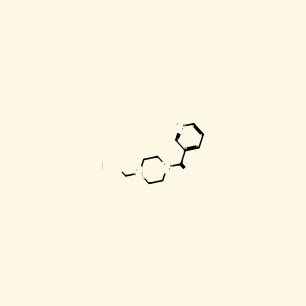 O=C(c1cccnc1)N1CCN(CO)CC1